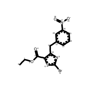 CCOC(=O)c1sc(Br)nc1Cc1cccc([N+](=O)[O-])c1